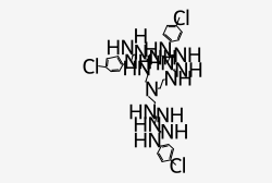 N=C(NCCN(CCNC(=N)NC(=N)Nc1ccc(Cl)cc1)CCNC(=N)NC(=N)Nc1ccc(Cl)cc1)NC(=N)Nc1ccc(Cl)cc1